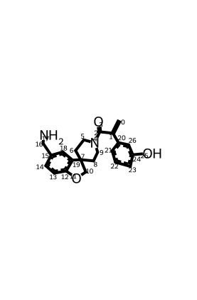 C=C(C(=O)N1CCC2(CC1)COc1ccc(CN)cc12)c1cccc(O)c1